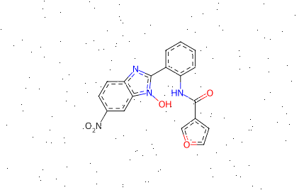 O=C(Nc1ccccc1-c1nc2ccc([N+](=O)[O-])cc2n1O)c1ccoc1